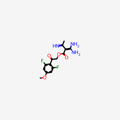 COc1cc(F)c(C(=O)COC(=O)C(C(C)=N)=C(N)N)c(F)c1